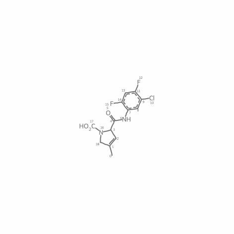 CC1=CC(C(=O)Nc2cc(Cl)c(F)cc2F)N(C(=O)O)C1